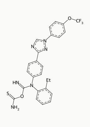 CCc1ccccc1N(C(=N)OC(N)=S)c1ccc(-c2ncn(-c3ccc(OC(F)(F)F)cc3)n2)cc1